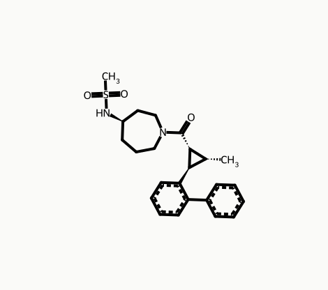 C[C@H]1[C@@H](C(=O)N2CCC[C@@H](NS(C)(=O)=O)CC2)[C@@H]1c1ccccc1-c1ccccc1